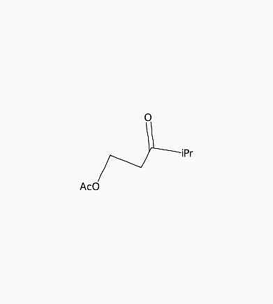 CC(=O)OCCC(=O)C(C)C